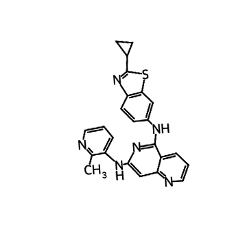 Cc1ncccc1Nc1cc2ncccc2c(Nc2ccc3nc(C4CC4)sc3c2)n1